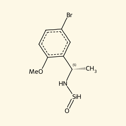 COc1ccc(Br)cc1[C@H](C)N[SiH]=O